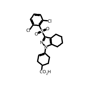 O=C(O)C1CC=C(n2nc(S(=O)(=O)c3c(Cl)cccc3Cl)c3c2CCCC3)CC1